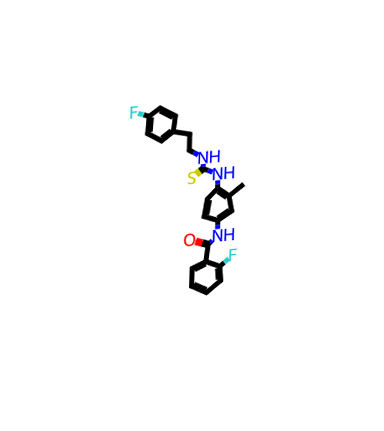 Cc1cc(NC(=O)c2ccccc2F)ccc1NC(=S)NCCc1ccc(F)cc1